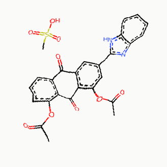 CC(=O)Oc1cccc2c1C(=O)c1c(OC(C)=O)cc(-c3nc4ccccc4[nH]3)cc1C2=O.CS(=O)(=O)O